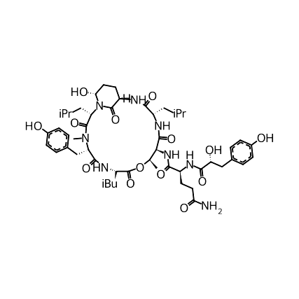 CC[C@H](C)[C@@H]1NC(=O)[C@H](Cc2ccc(O)cc2)N(C)C(=O)[C@H](CC(C)C)N2C(=O)[C@H](CC[C@H]2O)NC(=O)[C@H](CC(C)C)NC(=O)[C@@H](NC(=O)[C@H](CCC(N)=O)NC(=O)[C@H](O)Cc2ccc(O)cc2)[C@@H](C)OC1=O